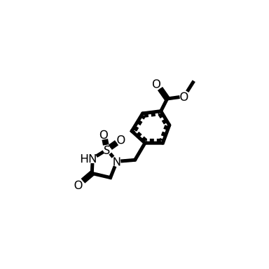 COC(=O)c1ccc(CN2CC(=O)NS2(=O)=O)cc1